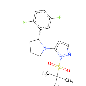 CC(C)(C)S(=O)(=O)n1nccc1N1CCC[C@@H]1c1cc(F)ccc1F